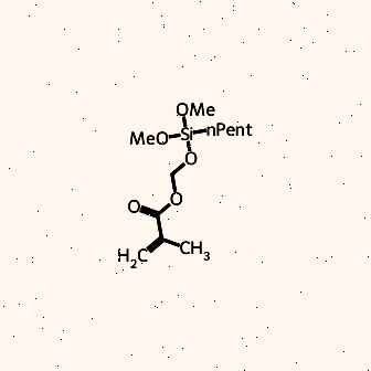 C=C(C)C(=O)OCO[Si](CCCCC)(OC)OC